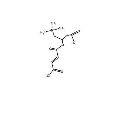 C[N+](C)(C)CC(CC(=O)[O-])OC(=O)/C=C/C(=O)O